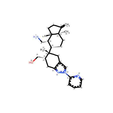 C=C1CC[C@H]2[C@@H](CN)[C@@H]([C@]3(C)Cc4cn(-c5ccccn5)nc4C[C@@H]3CO)CC[C@]12C